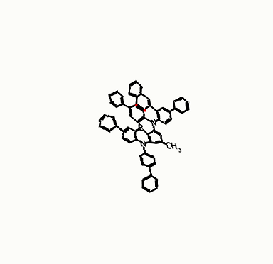 Cc1cc2c3c(c1)N(c1ccc(-c4ccccc4)cc1-c1ccc4ccccc4c1)c1ccc(-c4ccccc4)cc1B3c1cc(-c3ccccc3)ccc1N2c1ccc(-c2ccccc2)cc1